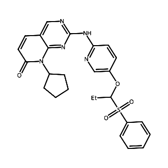 CCC(Oc1ccc(Nc2ncc3ccc(=O)n(C4CCCC4)c3n2)nc1)S(=O)(=O)c1ccccc1